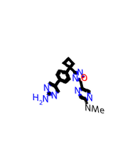 CNc1cnc(-c2nc(C3(c4ccc(-c5cnc(N)nc5)cc4)CCC3)no2)cn1